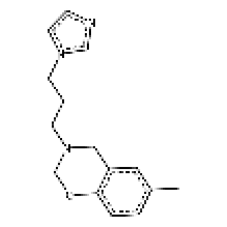 Cc1ccc2c(c1)CN(CCCn1ccnc1)CO2